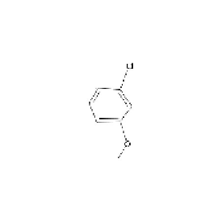 COc1cc[c]c(Cl)c1